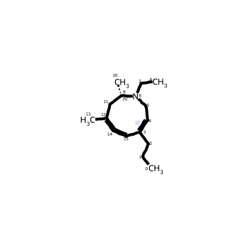 CCC/C1=C/CN(CC)[C@@H](C)CC(C)=C=C1